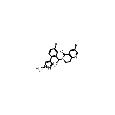 CC(c1cc(F)ccc1-c1cnn(C)c1)N1CCc2ncc(Br)cc2C1=O